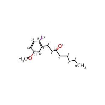 CCCCCC(=O)CCc1cc(OC)ccc1I